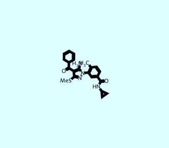 CSc1nn(-c2cc(C(=O)NC3CC3)ccc2C)c(N)c1C(=O)C1C=CC=CC1